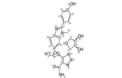 CCCc1c(C(N)=O)nnn1[C@@H]1O[C@H](Cn2c(-c3ccc(O)cc3)nc3ccc(C)cc32)[C@@H](O)[C@H]1O